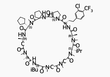 CCC(C)[C@@H]1NC(=O)[C@H](C)N(C)C(=O)C[C@@H](C)NC(=O)[C@H](C2CCCC2)N(C)C(=O)C2(CCCC2)NC(=O)[C@@H]2CCCN2C(=O)[C@H](CCc2ccc(C(F)(F)F)c(Cl)c2)NC(=O)[C@@H](C)N(C)C(=O)[C@H](C(C)C)N(C)C(=O)CN(C)C(=O)CN(C)C1=O